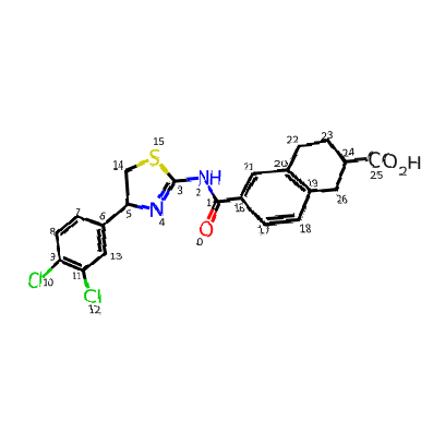 O=C(NC1=NC(c2ccc(Cl)c(Cl)c2)CS1)c1ccc2c(c1)CCC(C(=O)O)C2